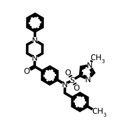 Cc1ccc(CN(c2ccc(C(=O)N3CCN(c4ccccc4)CC3)cc2)S(=O)(=O)c2cn(C)cn2)cc1